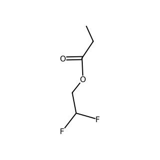 CCC(=O)OCC(F)F